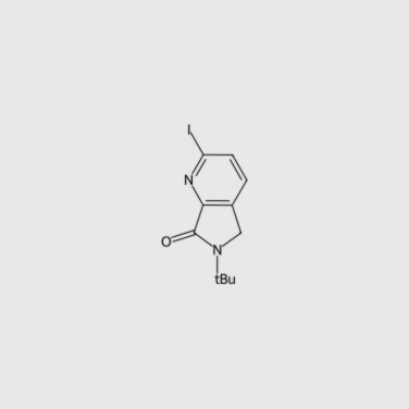 CC(C)(C)N1Cc2ccc(I)nc2C1=O